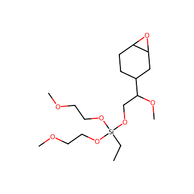 CC[Si](OCCOC)(OCCOC)OCC(OC)C1CCC2OC2C1